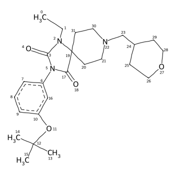 CCN1C(=O)N(c2cccc(OC(C)(C)C)c2)C(=O)C12CCN(CC1CCOCC1)CC2